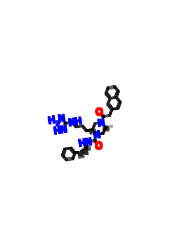 C[C@@H]1CN(C(=O)N[C@H]2C[C@H]2c2ccccc2)[C@@H](CCCNC(=N)N)CN1C(=O)Cc1ccc2ccccc2c1